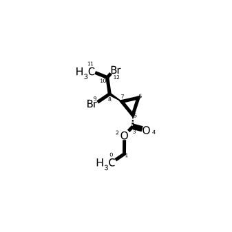 CCOC(=O)[C@H]1C[C@@H]1C(Br)C(C)Br